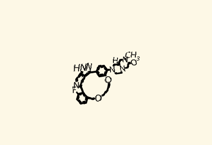 CN1C[C@@H]2CN(c3ccc4cc3OCCCOCc3cccc(F)c3-c3cc5c-4n[nH]c5cn3)CCN2CC1=O